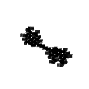 O=C(O)CN(CCN(CCN(CC(=O)O)CC(=O)O)C(Cc1ccc(OCCCCCCCCOc2ccc(CC(C(=O)O)N(CCN(CC(=O)O)CC(=O)O)CCN(CC(=O)O)CC(=O)O)cc2)cc1)C(=O)O)CC(=O)O